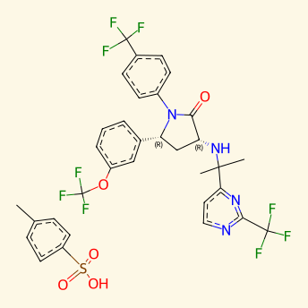 CC(C)(N[C@@H]1C[C@H](c2cccc(OC(F)(F)F)c2)N(c2ccc(C(F)(F)F)cc2)C1=O)c1ccnc(C(F)(F)F)n1.Cc1ccc(S(=O)(=O)O)cc1